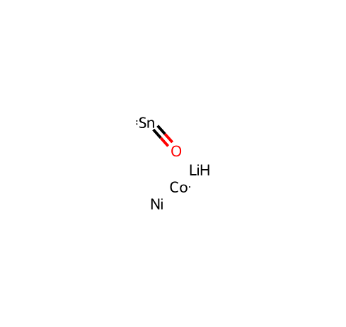 [Co].[LiH].[Ni].[O]=[Sn]